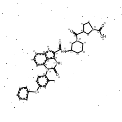 Cc1cc(Oc2ccccc2)ccc1N1C(=O)Nc2c(C(=O)NC3CCCN(C(=O)C4CCN(C(=O)O)C4)C3)sc3nccc1c23